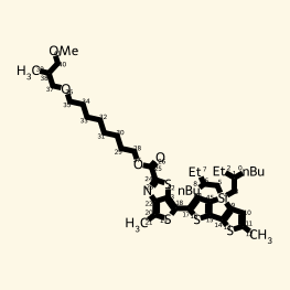 CCCCC(CC)C[Si]1(CC(CC)CCCC)c2cc(C)sc2-c2sc(-c3sc(C)c4nc(C(=O)OCCCCCCCCOCC(C)COC)sc34)cc21